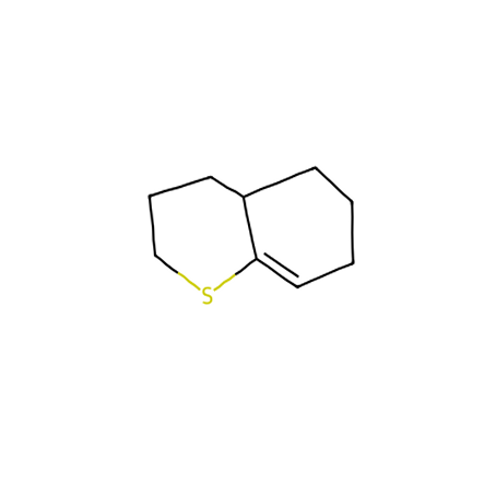 C1=C2SCCCC2CCC1